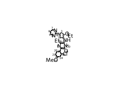 CCO[C@@H]1CN(c2ncccn2)C[C@H]1Nc1c(CC)nc(-c2ccc(OC)cc2Cl)c(=O)n1C